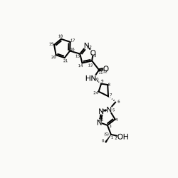 C[C@H](O)c1cn(C[C@H]2C[C@@H](NC(=O)c3cc(-c4ccccc4)no3)C2)nn1